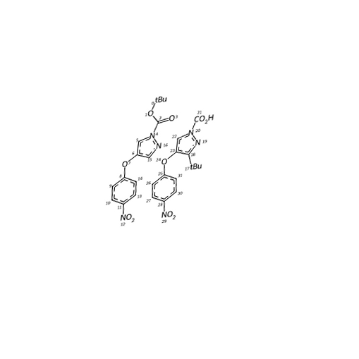 CC(C)(C)OC(=O)n1cc(Oc2ccc([N+](=O)[O-])cc2)cn1.CC(C)(C)c1nn(C(=O)O)cc1Oc1ccc([N+](=O)[O-])cc1